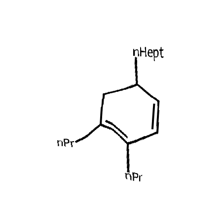 CCCCCCCC1C=CC(CCC)=C(CCC)C1